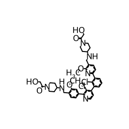 COc1cc(-c2nccc(-c3cccc(-c4ccc(CNC5CCN(C(=O)CO)CC5)c(OC)n4)c3Cl)c2Cl)ccc1CNC1CCN(C(=O)CO)CC1